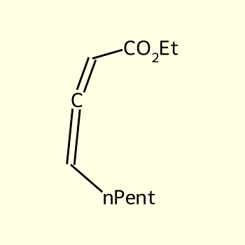 CCCCCC=C=CC(=O)OCC